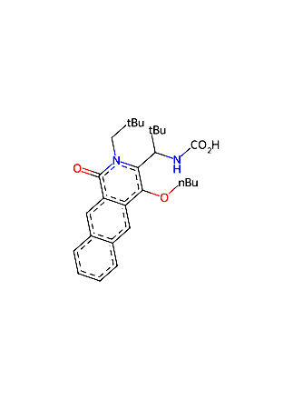 CCCCOc1c(C(NC(=O)O)C(C)(C)C)n(CC(C)(C)C)c(=O)c2cc3ccccc3cc12